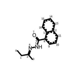 CC/C(C)=N/NC(=O)c1cccc2ccccc12